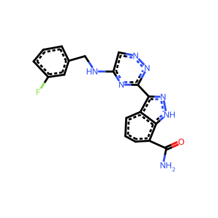 NC(=O)c1cccc2c(-c3nncc(NCc4cccc(F)c4)n3)n[nH]c12